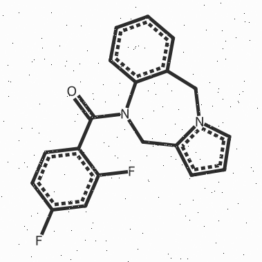 O=C(c1ccc(F)cc1F)N1Cc2cccn2Cc2ccccc21